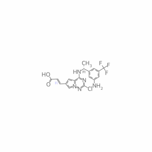 C[C@@H](Nc1nc(Cl)nn2cc(/C=C/C(=O)O)cc12)c1cc(N)cc(C(F)(F)F)c1